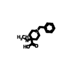 CNC1(C(=O)O)CCN(Cc2ccccc2)CC1